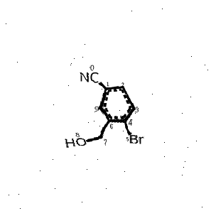 N#Cc1ccc(Br)c(CO)c1